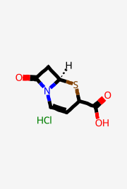 Cl.O=C(O)C1C=CN2C(=O)C[C@H]2S1